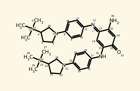 C[N+](C)(C)C1CCN(c2ccc(/N=C3\C=C(Nc4ccc(N5CCC([N+](C)(C)C)C5)cc4)C(=O)C=C3N)cc2)C1